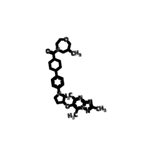 Cc1nc2nc(C)c(OC3CCN(c4ccc(C5CCC(C(=O)N6CCOCC(C)C6)CC5)cc4)C3)c(C)n2n1